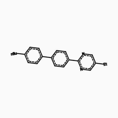 CCCCc1ccc(-c2ccc(-c3ncc(CC)cn3)cc2)cc1